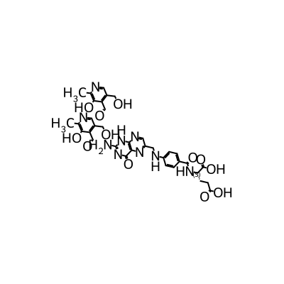 Cc1ncc(CO)c(C=O)c1O.Cc1ncc(CO)c(C=O)c1O.Nc1nc(=O)c2nc(CNc3ccc(C(=O)N[C@@H](CCC(=O)O)C(=O)O)cc3)cnc2[nH]1